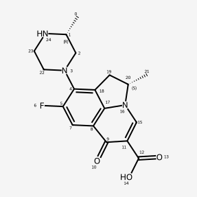 C[C@@H]1CN(c2c(F)cc3c(=O)c(C(=O)O)cn4c3c2C[C@@H]4C)CCN1